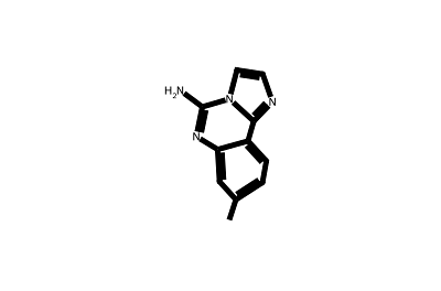 Cc1ccc2c(c1)nc(N)n1ccnc21